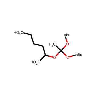 CCCCOC(C)(OCCCC)OC(CCCC(=O)O)C(=O)O